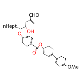 C=C(C=O)CC(O)C(CCCCCCC)OC1=CC=C(C(=O)OC2=CC=C(C3=CC=C(OC)CC3)CC2)CC1